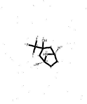 OC1(C(F)(F)F)C[C@H]2CC[C@@H](C1)N2